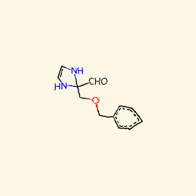 O=CC1(COCc2ccccc2)NC=CN1